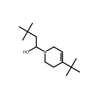 CC(C)(C)CC(O)N1CC=C(C(C)(C)C)CC1